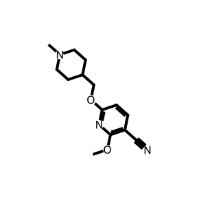 COc1nc(OCC2CCN(C)CC2)ccc1C#N